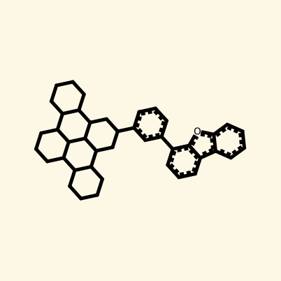 c1cc(-c2cccc3c2oc2ccccc23)cc(C2CC3C4CCCCC4C4CCCC5C6CCCCC6C(C2)C3C45)c1